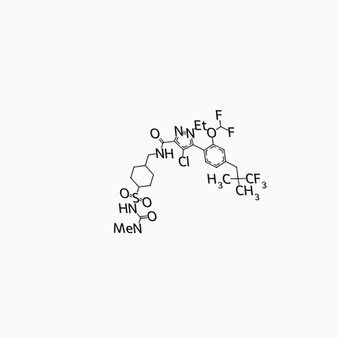 CCn1nc(C(=O)NCC2CCC(S(=O)(=O)NC(=O)NC)CC2)c(Cl)c1-c1ccc(CC(C)(C)C(F)(F)F)cc1OC(F)F